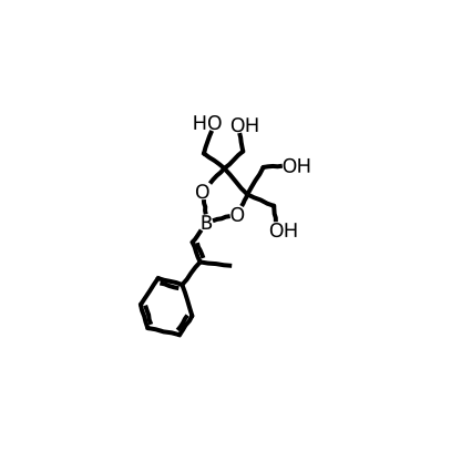 CC(=CB1OC(CO)(CO)C(CO)(CO)O1)c1ccccc1